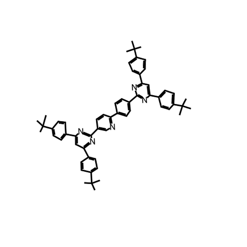 CC(C)(C)c1ccc(-c2cc(-c3ccc(C(C)(C)C)cc3)nc(-c3ccc(-c4ccc(-c5nc(-c6ccc(C(C)(C)C)cc6)cc(-c6ccc(C(C)(C)C)cc6)n5)cn4)cc3)n2)cc1